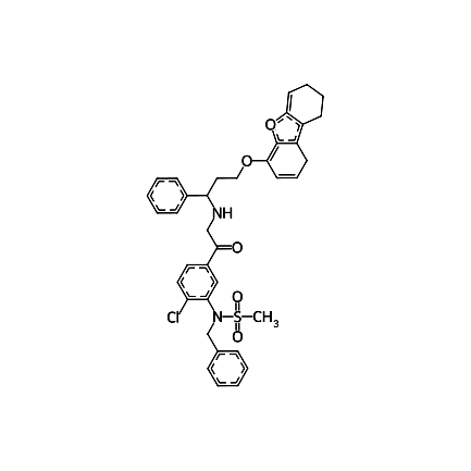 CS(=O)(=O)N(Cc1ccccc1)c1cc(C(=O)CNC(CCOC2=c3oc4c(c3CC=C2)CCCC=4)c2ccccc2)ccc1Cl